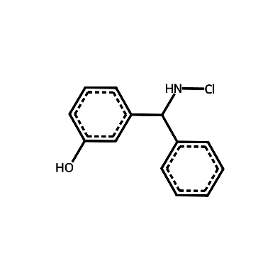 Oc1cccc(C(NCl)c2ccccc2)c1